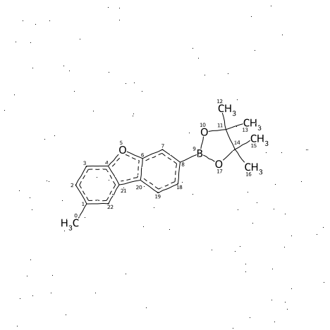 Cc1ccc2oc3cc(B4OC(C)(C)C(C)(C)O4)ccc3c2c1